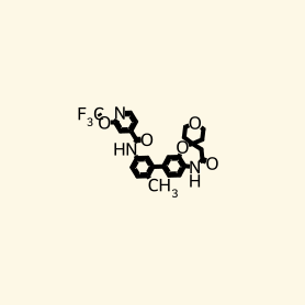 Cc1ccc(NC(=O)c2ccnc(OC(F)(F)F)c2)cc1-c1ccc2c(c1)OC1(CCOCC1)CC(=O)N2